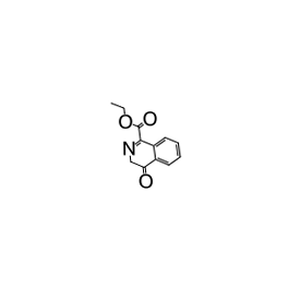 CCOC(=O)C1=NCC(=O)c2ccccc21